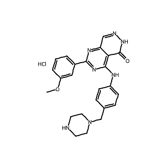 COc1cccc(-c2nc(Nc3ccc(CN4CCNCC4)cc3)c3c(=O)[nH]ncc3n2)c1.Cl